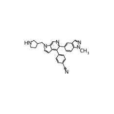 Cn1ncc2cc(-c3ncc4c(ccn4CC4CCNC4)c3-c3ccc(C#N)cc3)ccc21